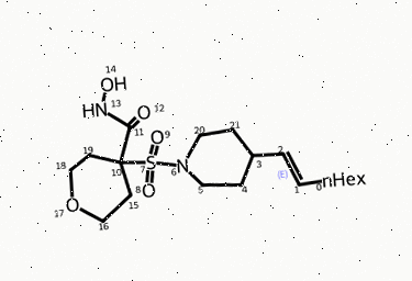 CCCCCC/C=C/C1CCN(S(=O)(=O)C2(C(=O)NO)CCOCC2)CC1